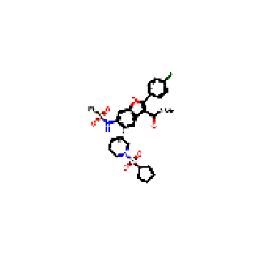 CCS(=O)(=O)Nc1cc2oc(-c3ccc(F)cc3)c(C(=O)NC)c2cc1[C@H]1CCCN(S(=O)(=O)C2CCCC2)C1